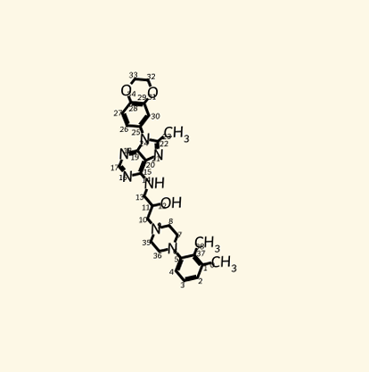 Cc1cccc(N2CCN(CC(O)CNc3ncnc4c3nc(C)n4-c3ccc4c(c3)OCCO4)CC2)c1C